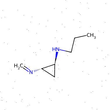 C=N[C@H]1C[C@@H]1NCCC